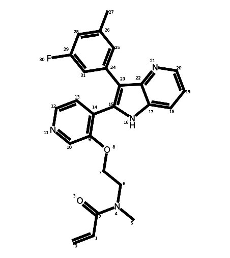 C=CC(=O)N(C)CCOc1cnccc1-c1[nH]c2cccnc2c1-c1cc(C)cc(F)c1